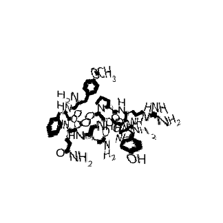 COc1ccc(C[C@H](N)C(=O)N[C@@H](Cc2ccccc2)C(=O)N[C@@H](CCC(N)=O)C(=O)N[C@@H](CC(N)=O)C(=O)N[C@@H](CCCNC(=N)N)C(=O)N2CCC[C@H]2C(=O)N[C@@H](CCCNC(=N)N)C(=O)N[C@@H](Cc2ccc(O)cc2)C(N)=O)cc1